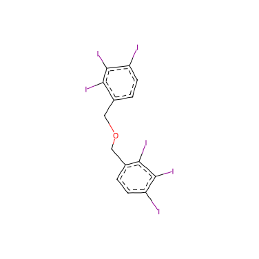 Ic1ccc(COCc2ccc(I)c(I)c2I)c(I)c1I